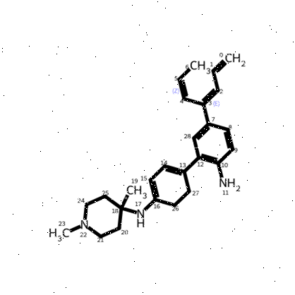 C=C/C=C(\C=C/C)c1ccc(N)c(C2=CC=C(NC3(C)CCN(C)CC3)CC2)c1